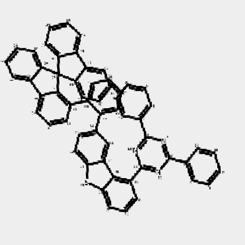 c1ccc(-c2nc(-c3ccccc3)nc(-c3cccc4sc5ccc(-c6ccccc6-c6cccc7c6C6(c8ccccc8-c8ccccc86)c6ccccc6-7)cc5c34)n2)cc1